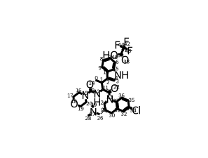 CC(c1c[nH]c2ccccc12)C(NC(=O)N1CCOCC1)C(=O)N1C[C@@H](CN(C)C)Cc2cc(Cl)ccc21.O=C(O)C(F)(F)F